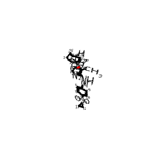 Cc1c(Nc2ccc(S(=O)(=O)C3CC3)cc2)ncnc1OC1CC2CC[C@@H](C1)N2C(=O)OC(C)C